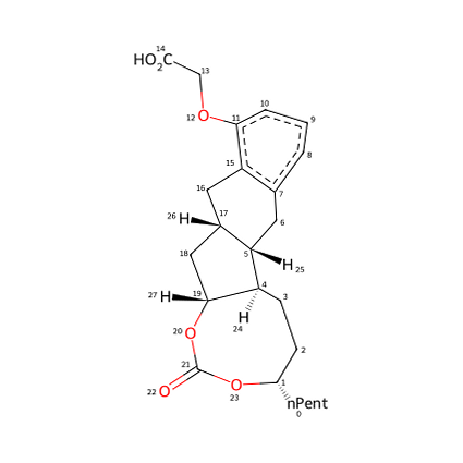 CCCCC[C@H]1CC[C@@H]2[C@H]3Cc4cccc(OCC(=O)O)c4C[C@H]3C[C@H]2OC(=O)O1